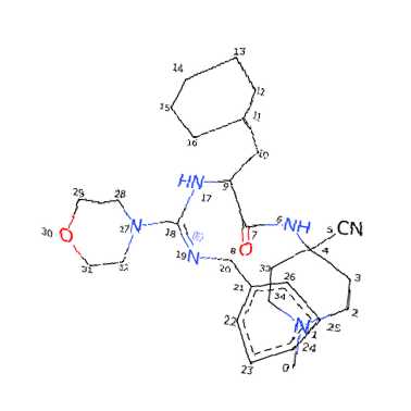 CN1CCC(C#N)(NC(=O)C(CC2CCCCC2)N/C(=N\Cc2ccccc2)N2CCOCC2)CC1